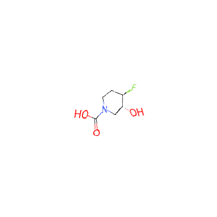 O=C(O)N1CC[C@@H](F)[C@H](O)C1